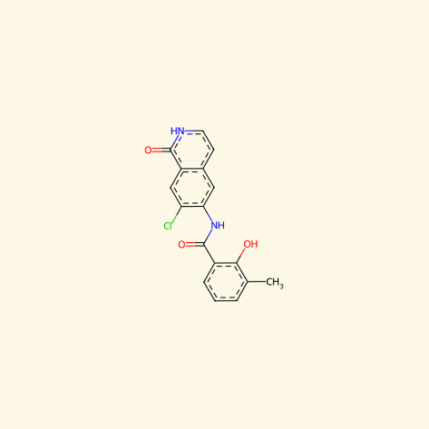 Cc1cccc(C(=O)Nc2cc3cc[nH]c(=O)c3cc2Cl)c1O